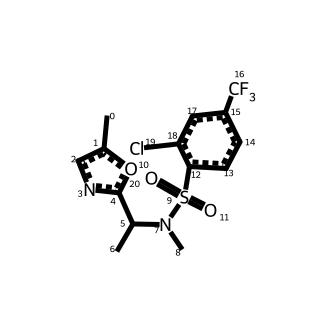 Cc1cnc(C(C)N(C)S(=O)(=O)c2ccc(C(F)(F)F)cc2Cl)o1